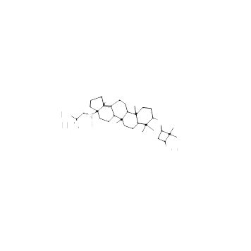 CCC(N)CNC12CCC[C@@H]1C1CCC3C(C)(CCC4C(C)(C)C(OC5CC(C(=O)O)C5(C)C)CCC43C)C1CC2